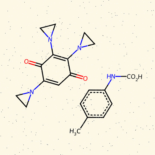 Cc1ccc(NC(=O)O)cc1.O=C1C=C(N2CC2)C(=O)C(N2CC2)=C1N1CC1